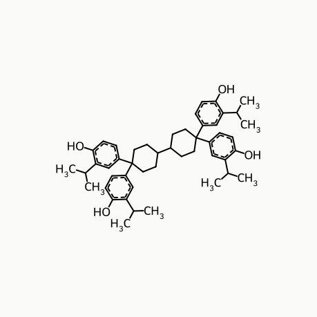 CC(C)c1cc(C2(c3ccc(O)c(C(C)C)c3)CCC(C3CCC(c4ccc(O)c(C(C)C)c4)(c4ccc(O)c(C(C)C)c4)CC3)CC2)ccc1O